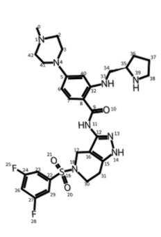 CN1CCN(c2ccc(C(=O)Nc3n[nH]c4c3CN(S(=O)(=O)c3cc(F)cc(F)c3)CC4)c(NC[C@H]3CCCN3)c2)CC1